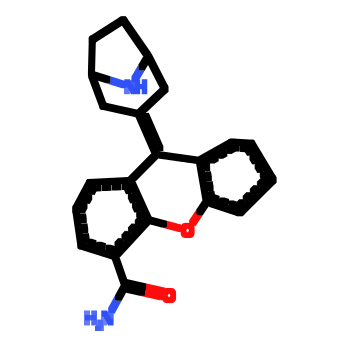 NC(=O)c1cccc2c1Oc1ccccc1C2=C1CC2CCC(C1)N2